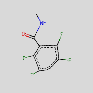 CNC(=O)c1c(F)c(F)cc(F)c1F